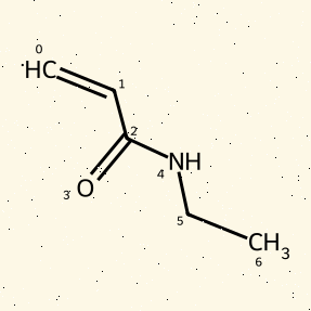 [CH]=CC(=O)NCC